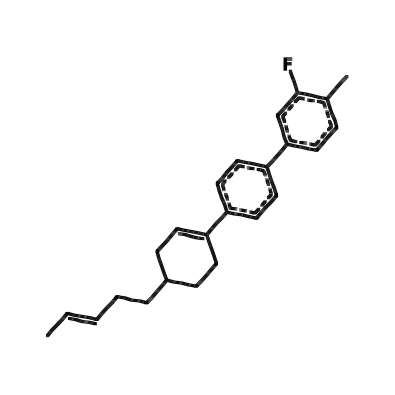 CC=CCCC1CC=C(c2ccc(-c3ccc(C)c(F)c3)cc2)CC1